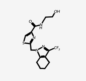 O=C(NCCO)c1csc(Cn2nc(C(F)(F)F)c3c2CCCC3)n1